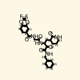 O=C(CNC(=O)c1ccc2c(c1)OC(F)(F)O2)NC(CC1CCCNC1=O)C(=O)C(=O)NCc1ccccc1